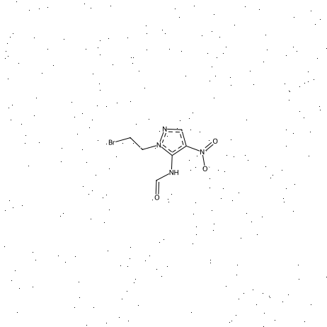 O=CNc1c([N+](=O)[O-])cnn1CCBr